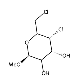 CO[C@H]1OC(CCl)[C@H](Cl)[C@H](O)C1O